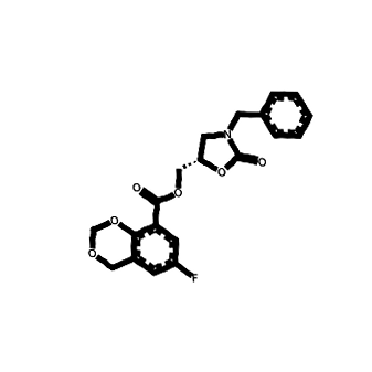 O=C(OC[C@@H]1CN(Cc2ccccc2)C(=O)O1)c1cc(F)cc2c1OCOC2